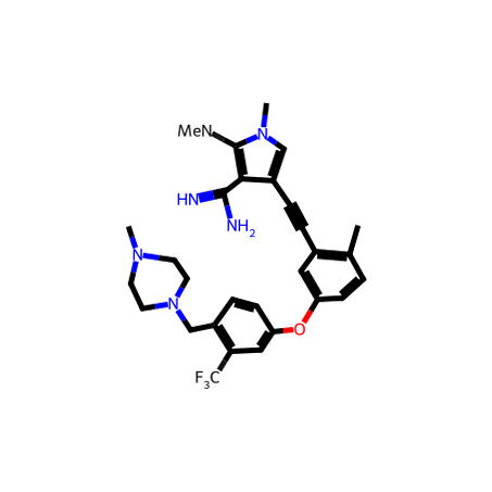 CNc1c(C(=N)N)c(C#Cc2cc(Oc3ccc(CN4CCN(C)CC4)c(C(F)(F)F)c3)ccc2C)cn1C